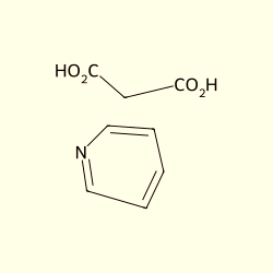 O=C(O)CC(=O)O.c1ccncc1